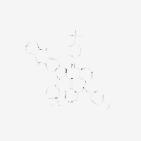 CC(C)(C)c1ccc(N2c3ccc(C(C)(C)C)cc3B3c4c2cccc4N(c2ccc(C(C)(C)C)cc2)c2c3n(-c3ccccc3)c3cc4c(cc23)Sc2ccccc2S4)cc1